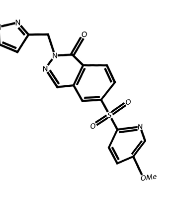 COc1ccc(S(=O)(=O)c2ccc3c(=O)n(Cc4cc[nH]n4)ncc3c2)nc1